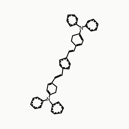 C1=C(/C=C/c2ccc(/C=C/C3=CC=C(N(c4ccccc4)c4ccccc4)CC3)cc2)CCC(N(c2ccccc2)c2ccccc2)=C1